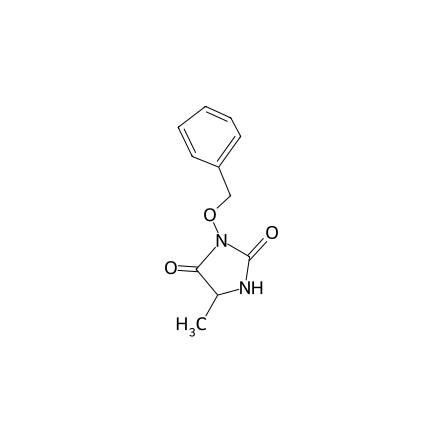 CC1NC(=O)N(OCc2ccccc2)C1=O